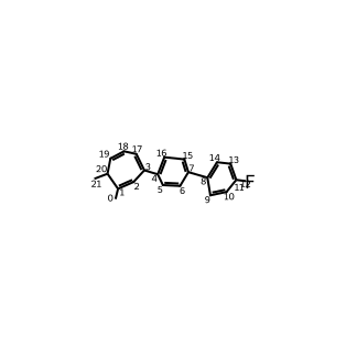 CC1=CC(c2ccc(-c3ccc(F)cc3)cc2)=CC=CC1C